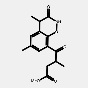 COC(=O)CC(C)C(=O)c1cc(C)cc2c1ONC(=O)C2C